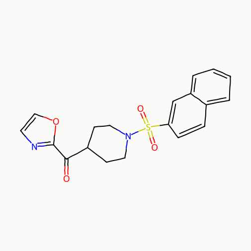 O=C(c1ncco1)C1CCN(S(=O)(=O)c2ccc3ccccc3c2)CC1